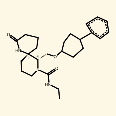 CCNC(=O)N1CCC[C@@]2(CCCC(=O)N2)[C@@H]1COC1CCC(c2ccccc2)CC1